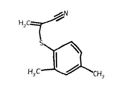 C=C(C#N)Sc1ccc(C)cc1C